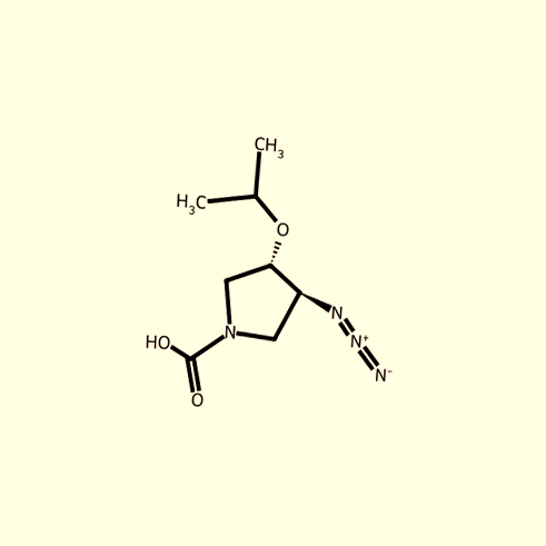 CC(C)O[C@H]1CN(C(=O)O)C[C@@H]1N=[N+]=[N-]